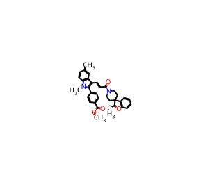 COC(=O)c1ccc(-c2c(/C=C/C(=O)N3CCC(C(C)=O)(c4ccccc4)CC3)c3cc(C)ccc3n2C)cc1